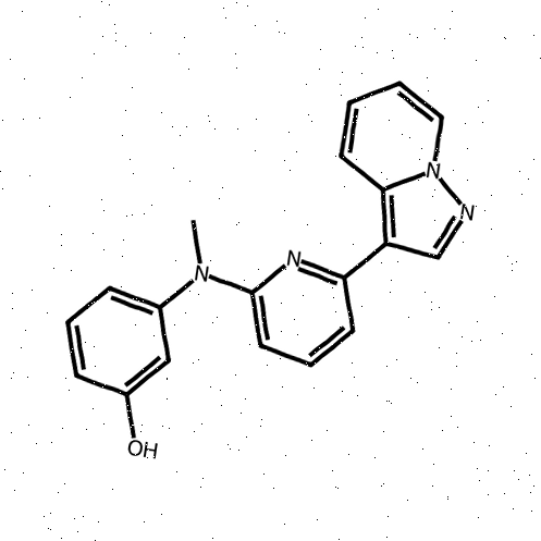 CN(c1cccc(O)c1)c1cccc(-c2cnn3ccccc23)n1